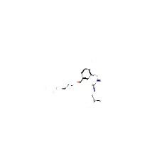 C=C/C(C)=C\C=C(/C)C(=C)Nc1cc(/C=P/CCCC)ccc1C